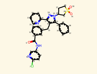 O=C(Nc1ccc(Cl)nc1)c1cccc(Cc2c(-c3ccccn3)nn(C3CCS(=O)(=O)C3)c2-c2ccccc2)c1